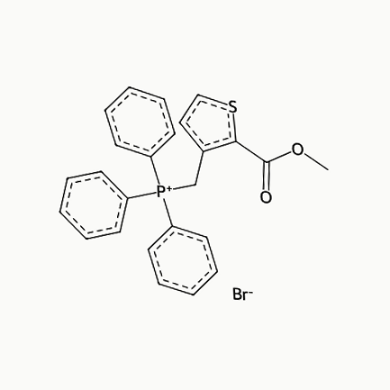 COC(=O)c1sccc1C[P+](c1ccccc1)(c1ccccc1)c1ccccc1.[Br-]